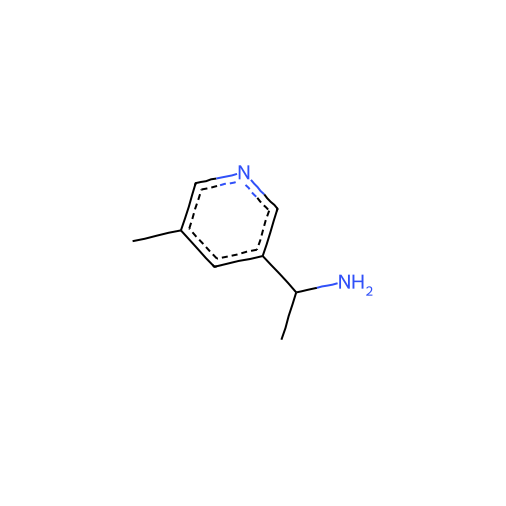 Cc1cncc(C(C)N)c1